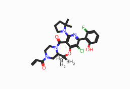 BC1(B)Oc2c(Cl)c(-c3c(O)cccc3F)nc(N3CCCC3(C)C)c2C(=O)N2CCN(C(=O)C=C)C[C@@H]21